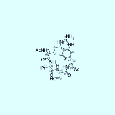 CC(=O)N[C@@H](CCCNC(=N)N)C(=O)NC(C(=O)N[C@@H](CO)C(=O)N[C@@H](Cc1ccccc1)C(C)=O)C(C)C